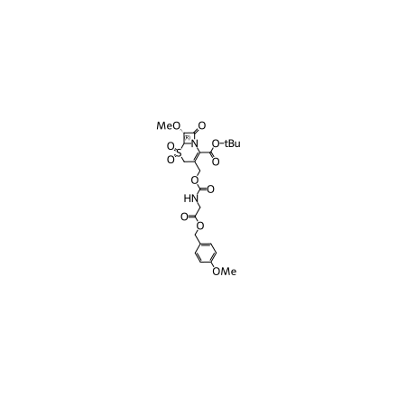 COc1ccc(COC(=O)CNC(=O)OCC2=C(C(=O)OC(C)(C)C)N3C(=O)[C@@H](OC)C3S(=O)(=O)C2)cc1